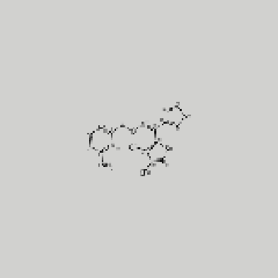 Nc1ccnc(CON=C(c2ccsc2)c2snc(Cl)c2Cl)n1